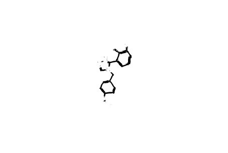 FC(F)(F)Oc1ccc(Cn2cnnc2-c2cccc(Cl)c2Cl)cc1